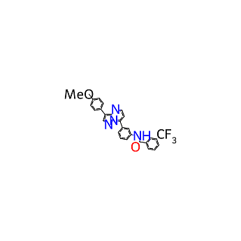 COc1ccc(-c2cnn3c(-c4cccc(NC(=O)c5cccc(C(F)(F)F)c5)c4)ccnc23)cc1